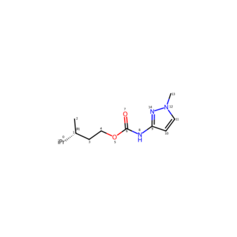 CC(C)[C@H](C)CCOC(=O)Nc1ccn(C)n1